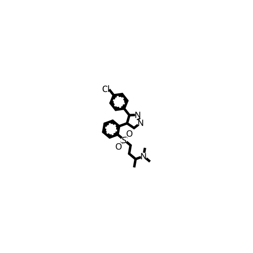 CC(CCS(=O)(=O)c1ccccc1C1CN=NC1c1ccc(Cl)cc1)N(C)C